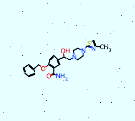 Cc1csc(N2CCN(CC(O)c3ccc(OCc4ccccc4)c(C(N)=O)c3)CC2)n1